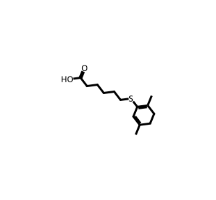 CC1=CC(SCCCCCC(=O)O)=C(C)CC1